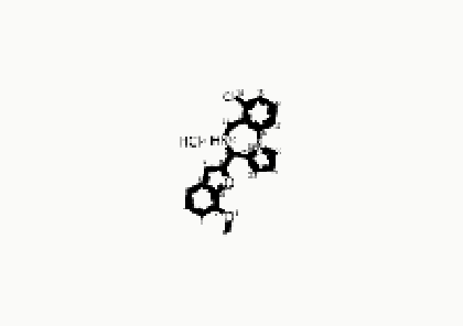 COc1cccc2cc(C3NCc4c(Cl)cccc4-n4cccc43)oc12.Cl